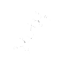 CC(C)C(N)C(=O)OC(C)(C)CCC(C)(C)OC(=O)C(N)C(C)C